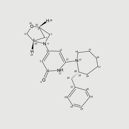 O=c1cc(N2C[C@@H]3C[C@H]2CO3)cc(N2CCCCC[C@@H]2Cc2ccccc2)[nH]1